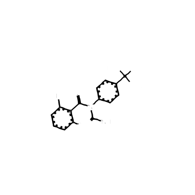 CC(C)(C)c1ccc(N(C(N)=O)C(=O)c2c(F)cccc2F)cc1